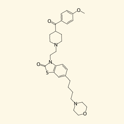 COc1ccc(C(=O)C2CCN(CCn3c(=O)sc4cc(CCCCN5CCOCC5)ccc43)CC2)cc1